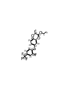 CCOC(=O)C(C)Oc1ccc(Sc2ccc(C(F)(F)F)cc2F)cc1